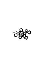 C1=CC2Nc3c(n4c5c(c6c7oc8ccccc8c7c7c8ccccc8n(-c8ccccc8)c7c64)CCC=c35)NC2C=C1